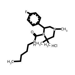 CCCCCNC(=O)N1C(c2ccc(F)cc2)CN(C)CC1(C)C.Cl